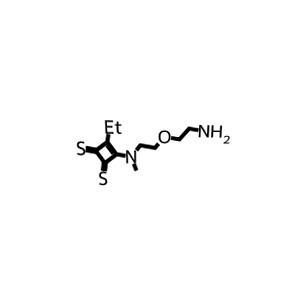 CCc1c(N(C)CCOCCN)c(=S)c1=S